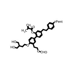 C=C(C)C(=O)Oc1cc(CCc2ccc(CCCCC)cc2)ccc1-c1ccc(OCCC(CO)CO)c(CCOC=O)c1